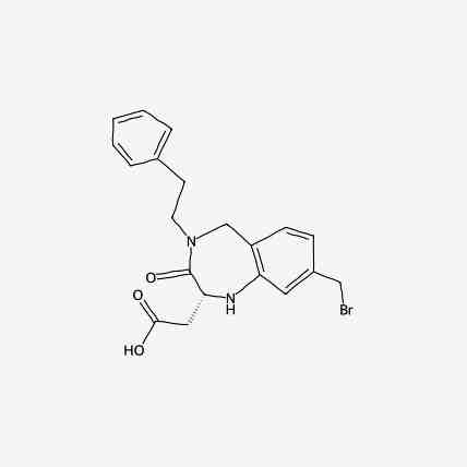 O=C(O)C[C@H]1Nc2cc(CBr)ccc2CN(CCc2ccccc2)C1=O